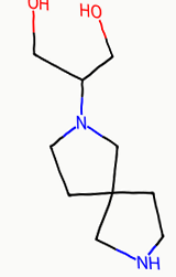 OCC(CO)N1CCC2(CCNC2)C1